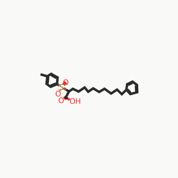 Cc1ccc(S(=O)(=O)C(CCCCCCCCCCc2ccccc2)C(=O)O)cc1